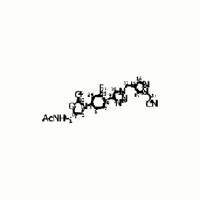 CC(=O)NC[C@H]1CN(c2ccc(-c3cn(Cc4cnn(CC#N)c4)nn3)c(F)c2)C(=O)O1